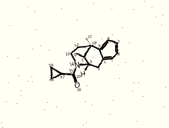 CC1[C@@H]2Cc3ccccc3[C@]1(C)CCN2C(=O)C1CC1